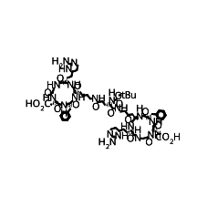 CC(C)(C)OC(=O)N[C@@H](CCC(=O)NCCCC[C@@H]1NC(=O)[C@H](Cc2ccccc2)NC(=O)[C@H](CC(=O)O)NC(=O)CNC(=O)[C@H](CCC2CCN=C(N)N2)NC1=O)C(=O)NCCCC[C@H]1NC(=O)[C@H](Cc2ccccc2)NC(=O)[C@H](CC(=O)O)NC(=O)CNC(=O)[C@H](CCC2CCN=C(N)N2)NC1=O